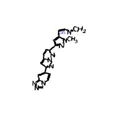 C=N/C=C\c1cc(-c2ccc3cc(-c4ccn5cnnc5c4)nn3n2)nn1C